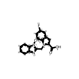 Cn1c(Cn2c(C(=O)O)cc3cc(F)ccc32)nc2ccccc21